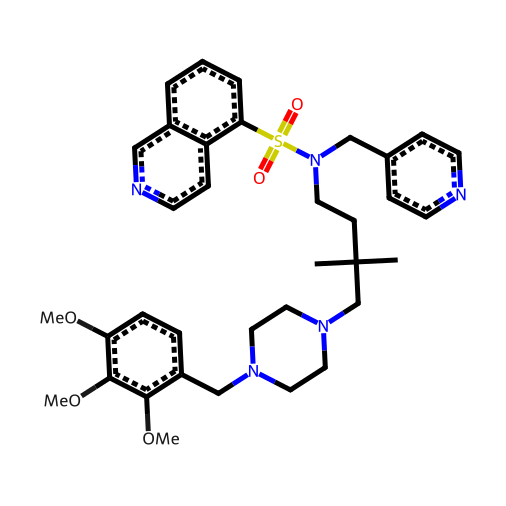 COc1ccc(CN2CCN(CC(C)(C)CCN(Cc3ccncc3)S(=O)(=O)c3cccc4cnccc34)CC2)c(OC)c1OC